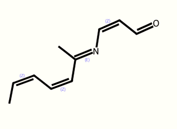 C\C=C/C=C\C(C)=N\C=C/C=O